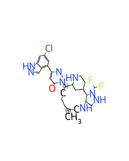 C[C@@H]1CCC[C@H](n2cnc(-c3cc(Cl)cc4[nH]ncc34)cc2=O)C2CC(CCN2)C2C(CNN2C(F)F)NC1